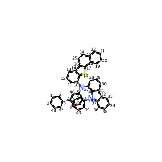 c1ccc(-c2cccc(N(c3cccc4c3sc3c5ccccc5ccc43)c3cccc4c5ccccc5n(-c5ccccc5)c34)c2)cc1